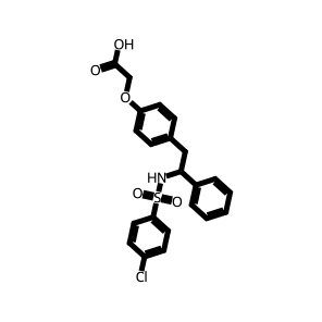 O=C(O)COc1ccc(CC(NS(=O)(=O)c2ccc(Cl)cc2)c2ccccc2)cc1